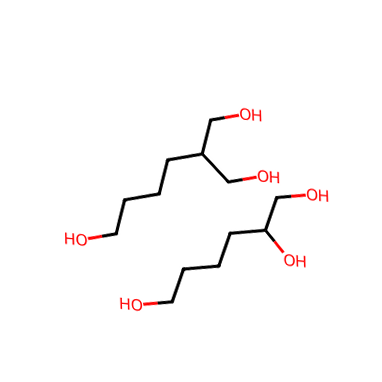 OCCCCC(CO)CO.OCCCCC(O)CO